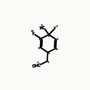 N#CC1(F)C=CC(CC=O)C=C1F